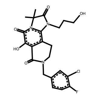 CC1(C)C(=O)N(CCCO)c2c3c(c(O)c(=O)n21)C(=O)N(Cc1ccc(F)c(Cl)c1)CC3